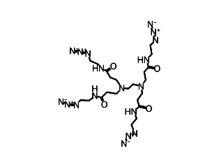 [N-]=[N+]=NCCNC(=O)CCN(CCC(=O)NCCN=[N+]=[N-])CCN(CCC(=O)NCCN=[N+]=[N-])CCC(=O)NCCN=[N+]=[N-]